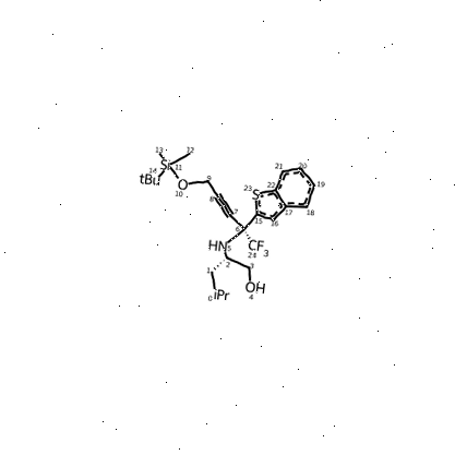 CC(C)C[C@@H](CO)N[C@@](C#CCO[Si](C)(C)C(C)(C)C)(c1cc2ccccc2s1)C(F)(F)F